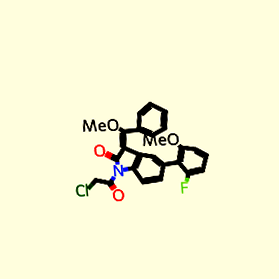 COC(=C1C(=O)N(C(=O)CCl)c2ccc(-c3c(F)cccc3OC)cc21)c1ccccc1